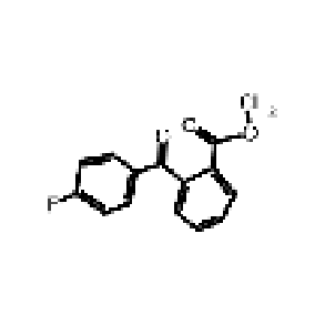 COC(=O)c1ccccc1C(=O)c1ccc(F)cc1